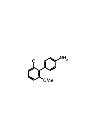 COc1cccc(O)c1-c1ccc(N)cc1